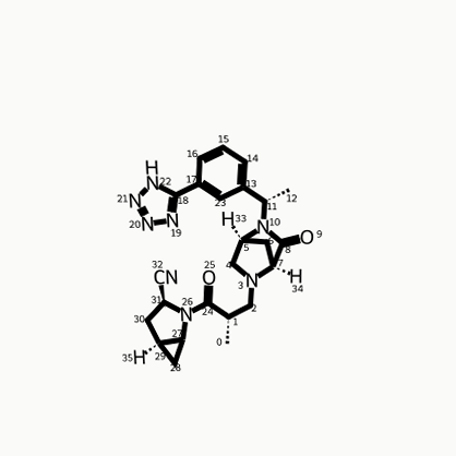 C[C@@H](CN1C[C@@H]2C[C@H]1C(=O)N2[C@@H](C)c1cccc(-c2nnn[nH]2)c1)C(=O)N1C2C[C@H]2C[C@H]1C#N